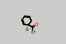 CCC(=O)[C@@]1(Br)C=CC=CC1